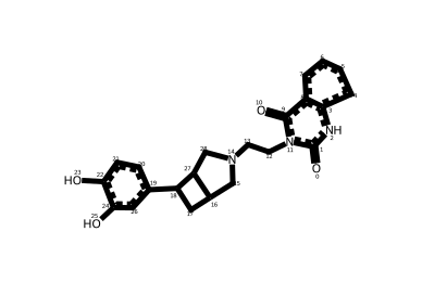 O=c1[nH]c2ccccc2c(=O)n1CCN1CC2CC(c3ccc(O)c(O)c3)C2C1